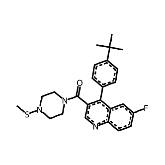 CSN1CCN(C(=O)c2cnc3ccc(F)cc3c2-c2ccc(C(C)(C)C)cc2)CC1